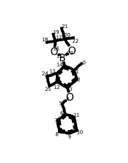 Cc1cc(OCc2ccccc2)c2c(c1B1OC(C)(C)C(C)(C)O1)CC2